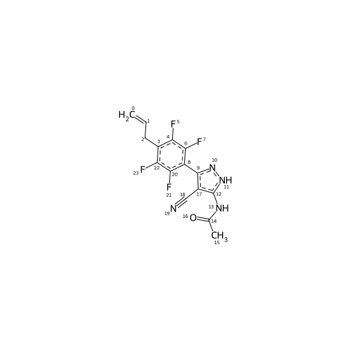 C=CCc1c(F)c(F)c(-c2n[nH]c(NC(C)=O)c2C#N)c(F)c1F